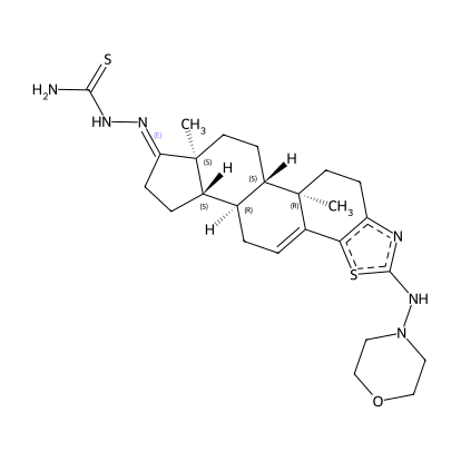 C[C@]12CCc3nc(NN4CCOCC4)sc3C1=CC[C@@H]1[C@@H]2CC[C@]2(C)/C(=N/NC(N)=S)CC[C@@H]12